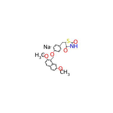 COc1ccc2ccc(OC)c(COc3ccc(CC4SC(=O)NC4=O)cc3)c2c1.[Na]